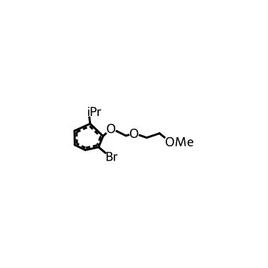 COCCOCOc1c(Br)cccc1C(C)C